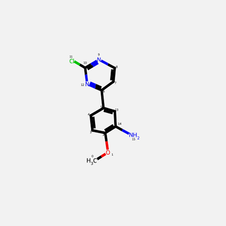 COc1ccc(-c2ccnc(Cl)n2)cc1N